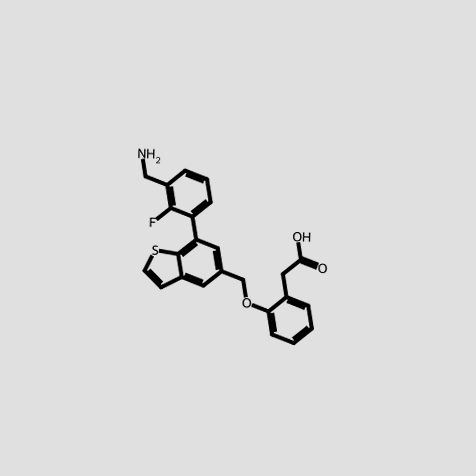 NCc1cccc(-c2cc(COc3ccccc3CC(=O)O)cc3ccsc23)c1F